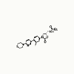 CCC(=O)NC[C@H]1CN(c2ccc(-c3ccc(N4CCSCC4)nc3)c(F)c2)C(=O)O1